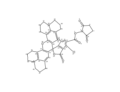 O=C(ON1C(=O)CCC1=O)c1cc(Cl)c2c(c1Cl)C(=O)OC21c2cc3c4c(c2Oc2c1cc1c5c2CCCN5CCC1)CCCN4CCC3